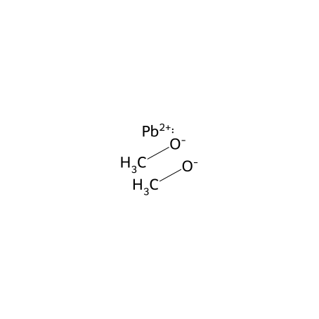 C[O-].C[O-].[Pb+2]